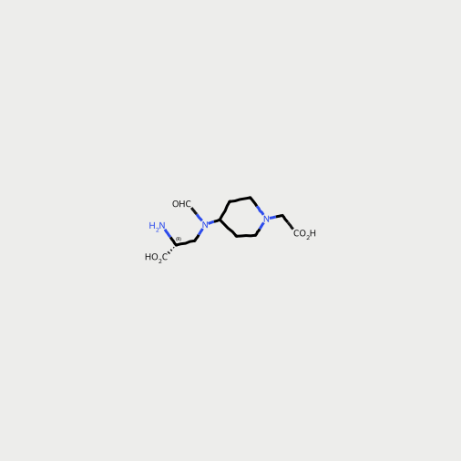 N[C@H](CN(C=O)C1CCN(CC(=O)O)CC1)C(=O)O